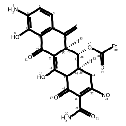 C=C1c2ccc(N)c(O)c2C(=O)C2=C(O)C3C(=O)C(C(N)=O)=C(N=O)C[C@@H]3[C@@H](OC(=O)CC)[C@H]12